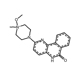 CO[N+]1(C)CCN(c2ccc3[nH]c(=O)c4ccccc4c3n2)CC1